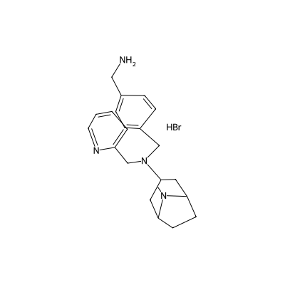 Br.CN1C2CCC1CC(N(Cc1ccc(CN)cc1)Cc1ccccn1)C2